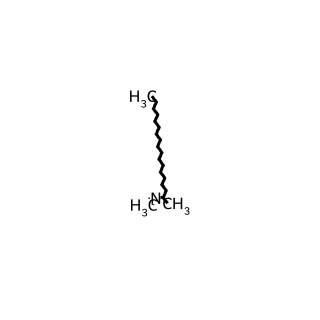 CCCCCCCCCCCCCCCCC(C)[N]C